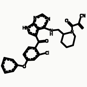 C=C(C#N)C(=O)N1CCCCC1CNc1ncnc2[nH]cc(C(=O)c3ccc(Oc4ccccc4)cc3Cl)c12